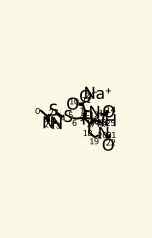 Cc1nnc(SCC2=C(C(=O)[O-])N3C(=O)[C@@H]4[C@H]3C2CCN4C=O)s1.[Na+]